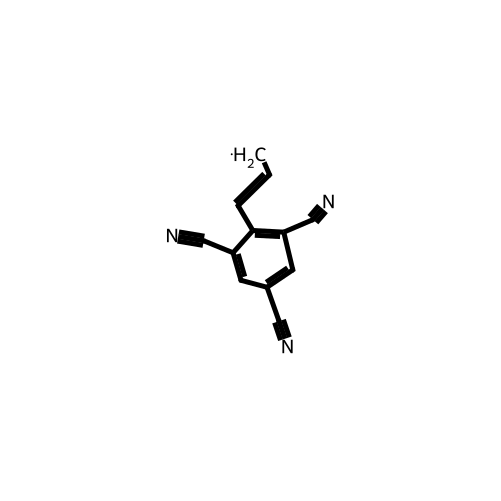 [CH2]C=Cc1c(C#N)cc(C#N)cc1C#N